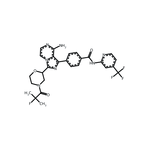 CC(C)(F)C(=O)N1CCOC(c2nc(-c3ccc(C(=O)Nc4cc(C(F)(F)F)ccn4)cc3)c3c(N)nccn23)C1